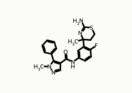 Cn1ncc(C(=O)Nc2ccc(F)c(C3(C)CCSC(N)=N3)c2)c1-c1ccccc1